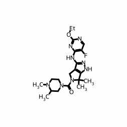 CCOc1ncc(F)c(Nc2n[nH]c3c2CN(C(=O)N2CCN(C)C(C)C2)C3(C)C)n1